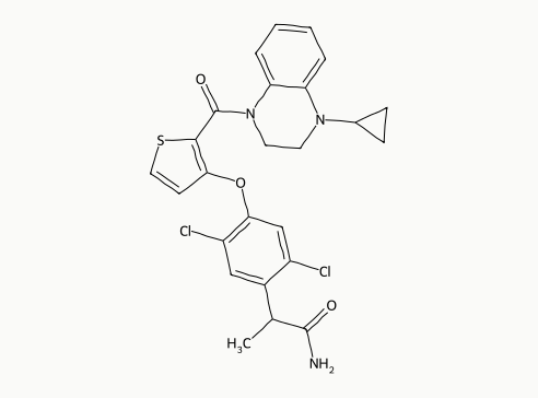 CC(C(N)=O)c1cc(Cl)c(Oc2ccsc2C(=O)N2CCN(C3CC3)c3ccccc32)cc1Cl